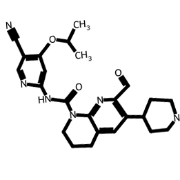 CC(C)Oc1cc(NC(=O)N2CCCc3cc(C4CCNCC4)c(C=O)nc32)ncc1C#N